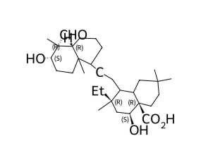 CC[C@]1(C)C[C@H](O)[C@@]2(C(=O)O)CCC(C)(C)CC2C1CCC1CCC[C@@H]2C1(C)CC[C@H](O)[C@]2(C)C=O